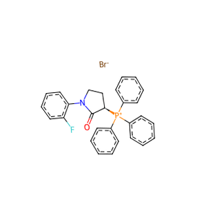 O=C1[C@H]([P+](c2ccccc2)(c2ccccc2)c2ccccc2)CCN1c1ccccc1F.[Br-]